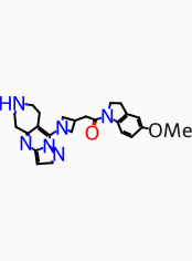 COc1ccc2c(c1)CCN2C(=O)CC1CN(c2c3c(nc4ccnn24)CCNCC3)C1